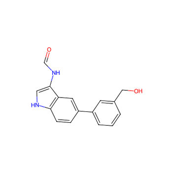 O=CNc1c[nH]c2ccc(-c3cccc(CO)c3)cc12